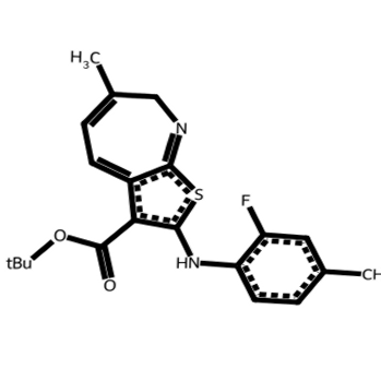 CC1=CC=c2c(C(=O)OC(C)(C)C)c(Nc3ccc(C)cc3F)sc2=NC1